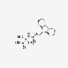 CC(C)(NC(=O)OCC1c2ccccc2-c2ccccc21)C(=O)S